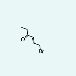 CCC(=O)/C=C/CBr